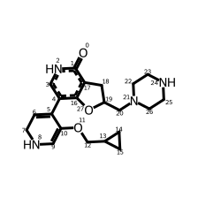 O=c1[nH]cc(C2=CCNC=C2OCC2CC2)c2c1CC(CN1CCNCC1)O2